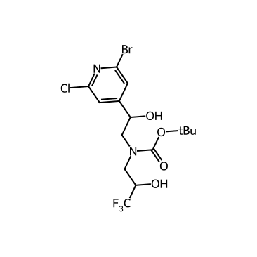 CC(C)(C)OC(=O)N(CC(O)c1cc(Cl)nc(Br)c1)CC(O)C(F)(F)F